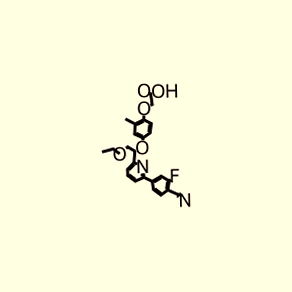 CCOCC(Oc1ccc(OCC(=O)O)c(C)c1)c1cccc(-c2ccc(C#N)c(F)c2)n1